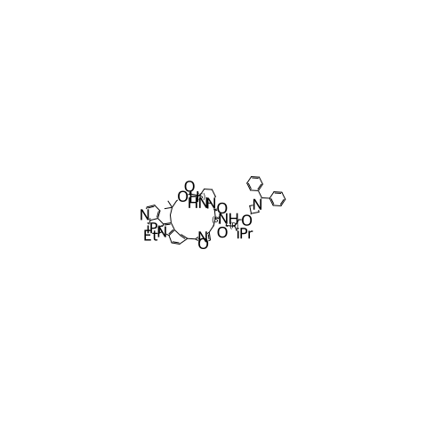 CCn1c(-c2cccnc2C(C)C)c2c3cc(ccc31)-c1nc(co1)C[C@H](NC(=O)[C@@H](COC1CN(C(c3ccccc3)c3ccccc3)C1)C(C)C)C(=O)N1CCC[C@H](N1)C(=O)OCC(C)(C)C2